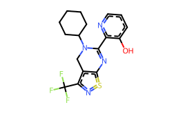 Oc1cccnc1C1=Nc2snc(C(F)(F)F)c2CN1C1CCCCC1